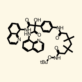 CC(C)(CC(=O)NOC(C)(C)C)CC(C)(C)CC(=O)Nc1ccc(C(O)(C(=O)Nc2cccc3cccnc23)C(=O)Nc2cccc3cccnc23)cc1